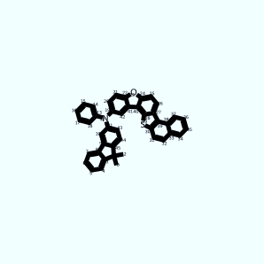 CC1(C)c2ccccc2-c2cc(N(c3ccccc3)c3ccc4oc5ccc6c(sc7ccc8ccccc8c76)c5c4c3)ccc21